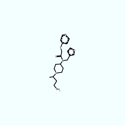 CC(CCN)N1CCC(N(Cc2ccsc2)C(=S)CSc2ccncc2)CC1